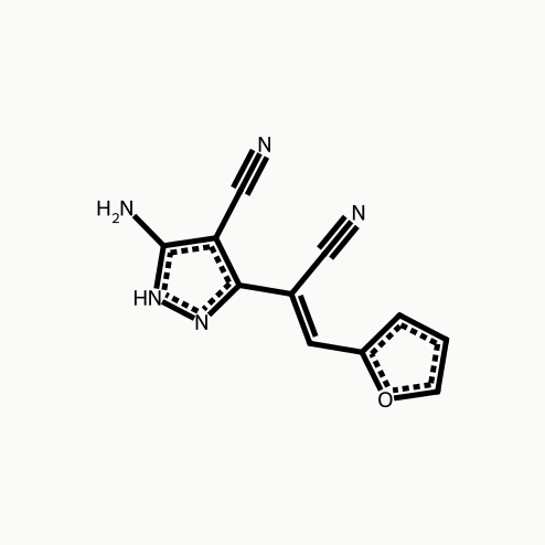 N#CC(=Cc1ccco1)c1n[nH]c(N)c1C#N